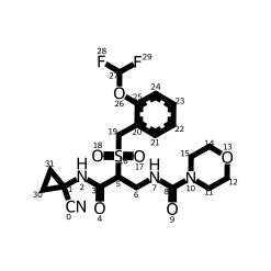 N#CC1(NC(=O)C(CNC(=O)N2CCOCC2)S(=O)(=O)Cc2ccccc2OC(F)F)CC1